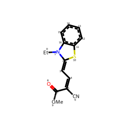 CCN1/C(=C/C=C(/C#N)C(=O)OC)Sc2ccccc21